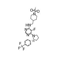 CS(=O)(=O)N1CCC(CNc2ncnc(N3CCC[C@@H]3c3ccc(C(F)(F)F)cc3)c2F)CC1